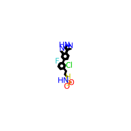 O=[SH](=O)NCCCc1ccc(F)c(-c2ccc3c(cnc4[nH]ncc43)c2)c1Cl